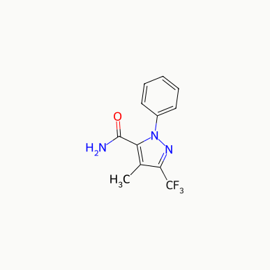 Cc1c(C(F)(F)F)nn(-c2ccccc2)c1C(N)=O